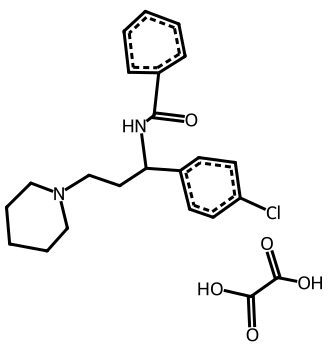 O=C(NC(CCN1CCCCC1)c1ccc(Cl)cc1)c1ccccc1.O=C(O)C(=O)O